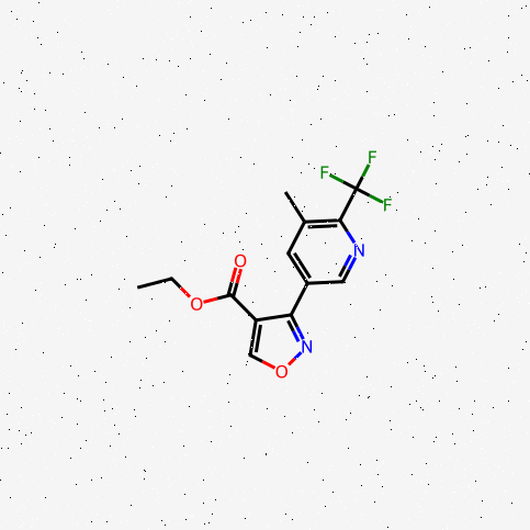 CCOC(=O)c1conc1-c1cnc(C(F)(F)F)c(C)c1